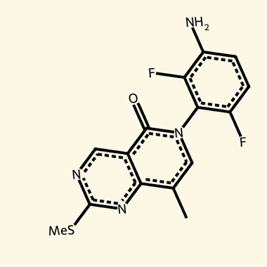 CSc1ncc2c(=O)n(-c3c(F)ccc(N)c3F)cc(C)c2n1